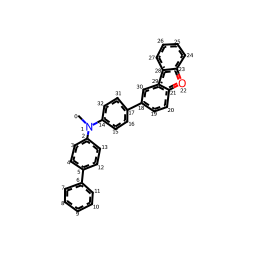 CN(c1ccc(-c2ccccc2)cc1)c1ccc(-c2ccc3oc4ccccc4c3c2)cc1